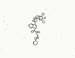 O=C(NC/C=N\OC1C=CCCC1)c1ccc(C2=NOC(c3cc(Cl)c(F)c(Cl)c3)(C(F)(F)F)C2)c2ccccc12